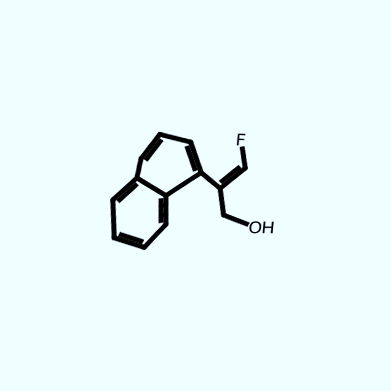 OC/C(=C/F)c1cccc2ccccc12